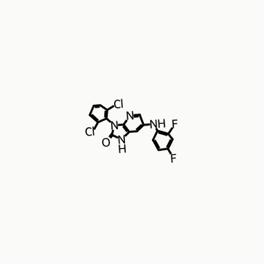 O=c1[nH]c2cc(Nc3ccc(F)cc3F)cnc2n1-c1c(Cl)cccc1Cl